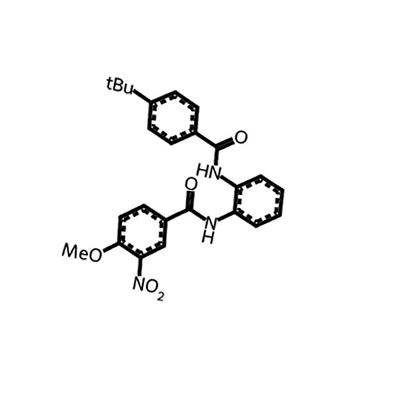 COc1ccc(C(=O)Nc2ccccc2NC(=O)c2ccc(C(C)(C)C)cc2)cc1[N+](=O)[O-]